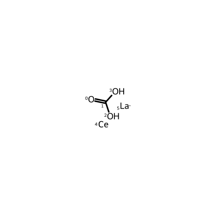 O=C(O)O.[Ce].[La]